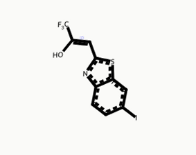 O/C(=C\c1nc2ccc(I)cc2s1)C(F)(F)F